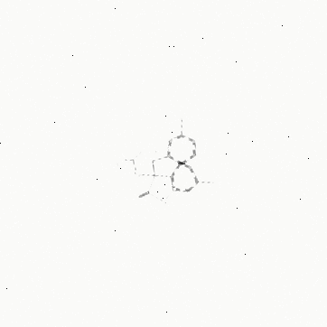 CC(C)[N]C1(Cc2cccc(Cl)c2)C(=O)Nc2cc(Cl)ccc21